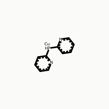 [Cu].c1ccc(Pc2ccccn2)nc1